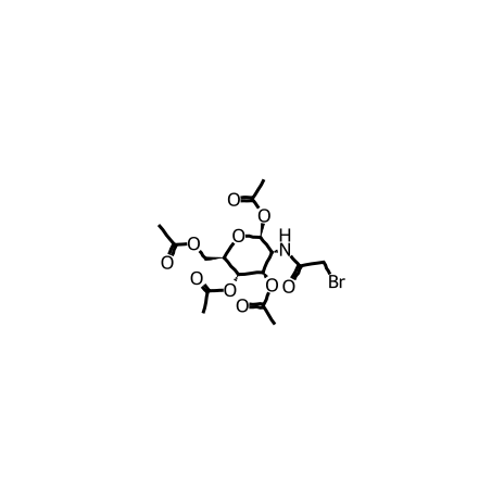 CC(=O)OC[C@H]1O[C@@H](OC(C)=O)[C@H](NC(=O)CBr)[C@@H](OC(C)=O)[C@@H]1OC(C)=O